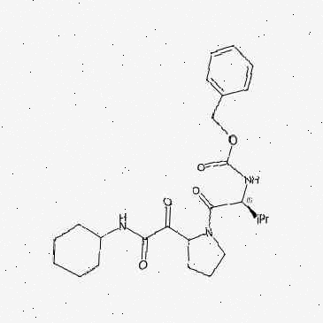 CC(C)[C@H](NC(=O)OCc1ccccc1)C(=O)N1CCCC1C(=O)C(=O)NC1CCCCC1